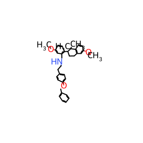 COc1ccc(C2CCc3cc(OC)ccc3C2(C)C)c(CNCCc2ccc(OCc3ccccc3)cc2)c1